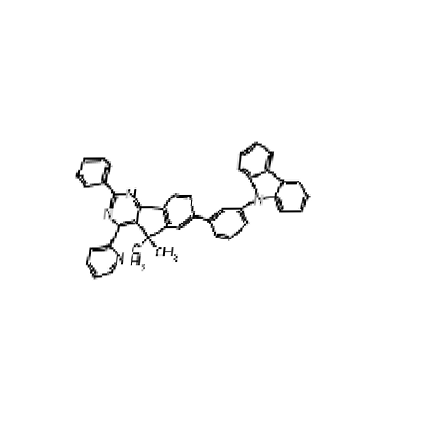 CC1(C)c2cc(-c3cccc(-n4c5ccccc5c5ccccc54)c3)ccc2-c2nc(-c3ccccc3)nc(-c3ccccn3)c21